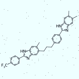 Cc1cc2nc(-c3ccc(CCCc4cc5nc(-c6ccc(C(F)(F)F)cc6)[nH]c5cc4C)cc3)[nH]c2cc1C